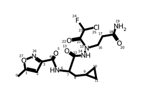 Cc1cc(C(=O)NC(CC2CC2)C(=O)NN(CCC(N)=O)C(=O)C(F)Cl)no1